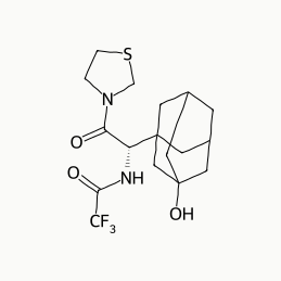 O=C([C@@H](NC(=O)C(F)(F)F)C12CC3CC(CC(O)(C3)C1)C2)N1CCSC1